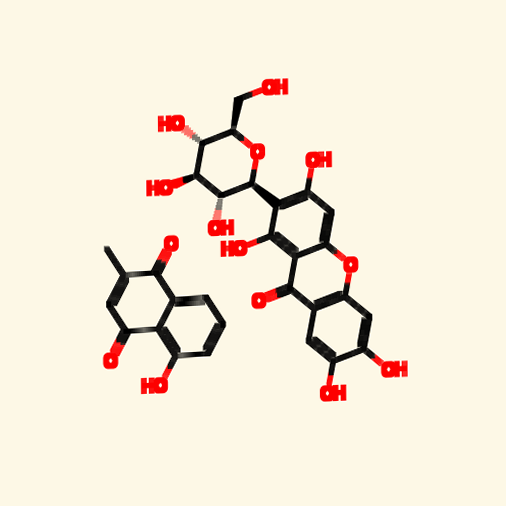 CC1=CC(=O)c2c(O)cccc2C1=O.O=c1c2cc(O)c(O)cc2oc2cc(O)c([C@@H]3O[C@H](CO)[C@@H](O)[C@H](O)[C@H]3O)c(O)c12